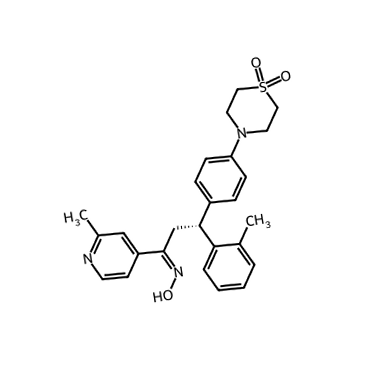 Cc1cc(/C(C[C@H](c2ccc(N3CCS(=O)(=O)CC3)cc2)c2ccccc2C)=N\O)ccn1